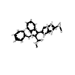 COC(=O)c1c(-c2cn3nc(OC)sc3n2)c2ccccc2n1Cc1ccccc1